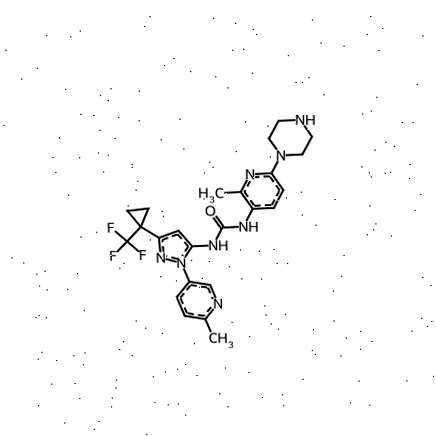 Cc1ccc(-n2nc(C3(C(F)(F)F)CC3)cc2NC(=O)Nc2ccc(N3CCNCC3)nc2C)cn1